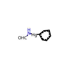 O=C[NH][Hg][c]1ccccc1